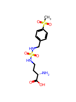 CS(=O)(=O)c1ccc(CNS(=O)(=O)NCC[C@H](N)C(=O)O)cc1